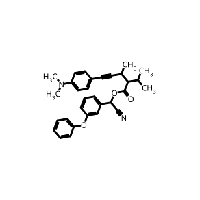 CC(C)C(C(=O)OC(C#N)c1cccc(Oc2ccccc2)c1)C(C)C#Cc1ccc(N(C)C)cc1